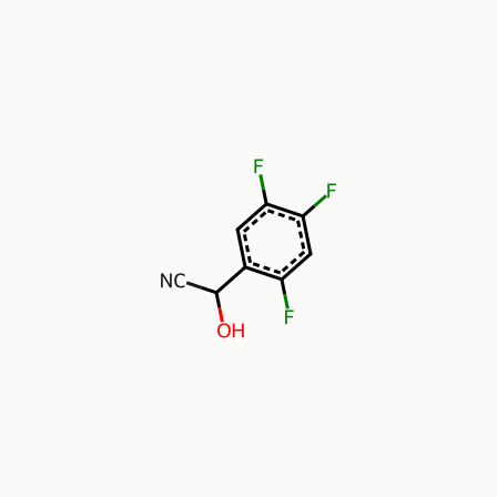 N#CC(O)c1cc(F)c(F)cc1F